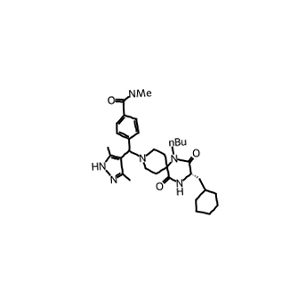 CCCCN1C(=O)[C@H](CC2CCCCC2)NC(=O)C12CCN(C(c1ccc(C(=O)NC)cc1)c1c(C)n[nH]c1C)CC2